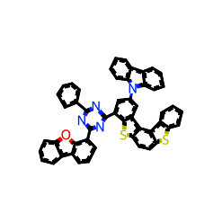 c1ccc(-c2nc(-c3cccc4c3oc3ccccc34)nc(-c3cc(-n4c5ccccc5c5ccccc54)cc4c3sc3ccc5sc6ccccc6c5c34)n2)cc1